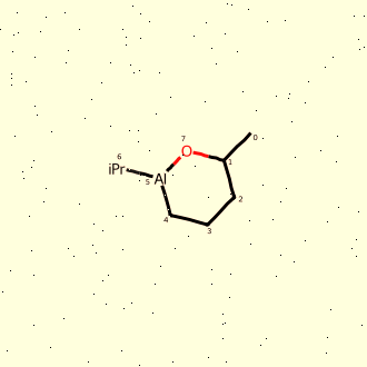 CC1CC[CH2][Al]([CH](C)C)[O]1